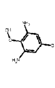 Nc1cc(Cl)cc(N)c1OO